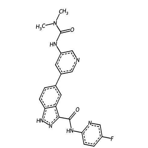 CN(C)C(=O)Nc1cncc(-c2ccc3[nH]nc(C(=O)Nc4ccc(F)cn4)c3c2)c1